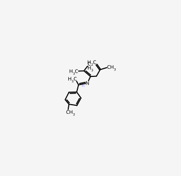 C=C(C)CC(/N=C(\C)c1ccc(C)cc1)=C(C)C